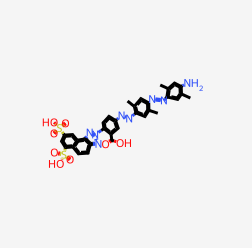 Cc1cc(N=Nc2cc(C)c(N=Nc3ccc(-n4nc5ccc6c(S(=O)(=O)O)cc(S(=O)(=O)O)cc6c5n4)c(C(=O)O)c3)cc2C)c(C)cc1N